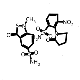 Cn1sc(=O)c2cc(S(N)(=O)=O)ccc21.NS(=O)(=O)c1cccc([N+](=O)[O-])c1N1CCCC1=O